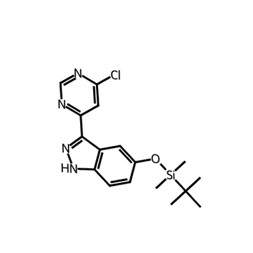 CC(C)(C)[Si](C)(C)Oc1ccc2[nH]nc(-c3cc(Cl)ncn3)c2c1